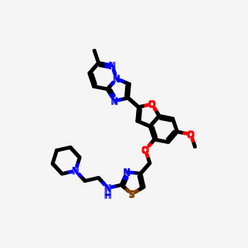 COc1cc(OCc2csc(NCCN3CCCCC3)n2)c2cc(-c3cn4nc(C)ccc4n3)oc2c1